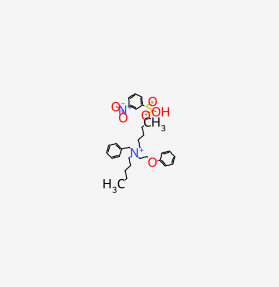 CCCCC[N+](CCCCC)(CCOc1ccccc1)Cc1ccccc1.O=[N+]([O-])c1cccc(S(=O)(=O)O)c1